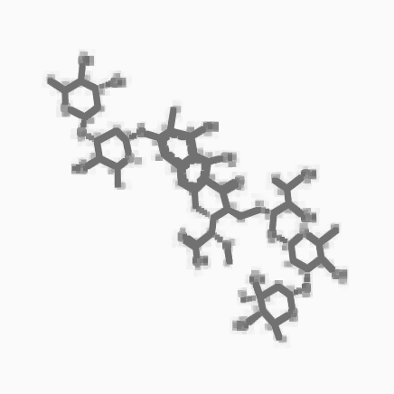 CO[C@H](C(=O)O)[C@@H]1Cc2cc3cc(O[C@H]4C[C@@H](O[C@H]5C[C@@H](O)C(O)C(C)O5)C(O)C(C)O4)c(C)c(O)c3c(O)c2C(=O)[C@H]1CC[C@@H](O[C@H]1C[C@@H](O[C@H]2C[C@](C)(O)[C@H](O)C(C)O2)C(O)C(C)O1)C(O)C(C)O